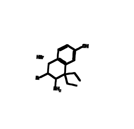 Br.CCC1(CC)c2cc(O)ccc2CC(Br)C1N